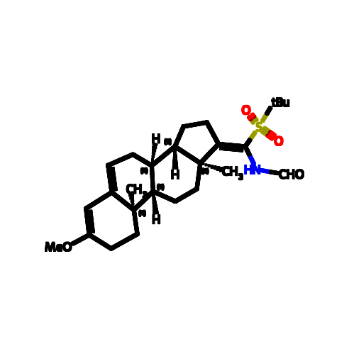 COC1=CC2=CC[C@@H]3[C@H](CC[C@]4(C)C(=C(NC=O)S(=O)(=O)C(C)(C)C)CC[C@@H]34)[C@@]2(C)CC1